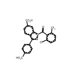 O=C(O)c1ccc(-c2nn(C(=O)c3c(Cl)cccc3C(F)(F)F)c3cc(C(=O)O)ccc23)cc1